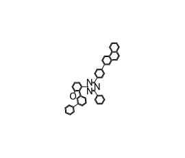 c1ccc(-c2nc(-c3ccc(-c4ccc5c(ccc6ccccc65)c4)cc3)nc(-c3cccc4oc5c(-c6ccccc6)cccc5c34)n2)cc1